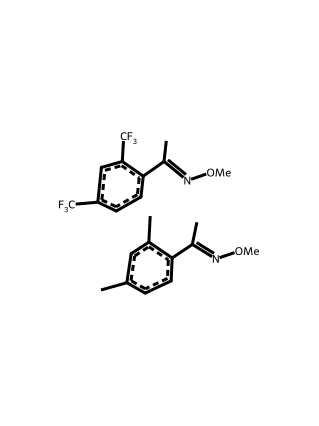 CO/N=C(\C)c1ccc(C(F)(F)F)cc1C(F)(F)F.CO/N=C(\C)c1ccc(C)cc1C